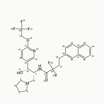 O=C(N[C@H](CN1CCCC1)[C@H](O)c1ccc(OCC(F)(F)F)nc1)C(F)(F)CCc1ccc2ccccc2c1